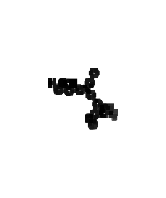 CC1(C)c2ccccc2-c2ccc(-c3ccc(N(c4ccc(-c5ccccc5)cc4)c4ccc(-c5ccc6c(c5)-c5cc7oc8ccccc8c7cc5C6(C)C)cc4)cc3)cc21